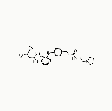 C=C(/C=C(\N)Nc1ccnc(Nc2ccc(CCC(=O)NCCN3CCCC3)cc2)n1)C1CC1